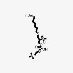 CCCCCCCCCCCCCCCCSCC(COP(=O)(O)OCC[N+](C)(C)C)S(C)(=O)=O